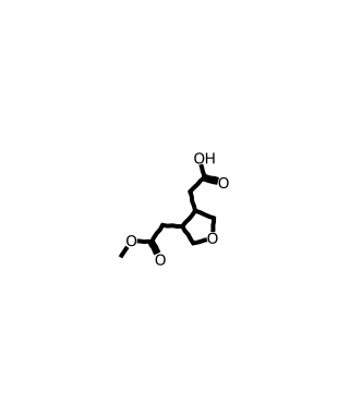 COC(=O)CC1COCC1CC(=O)O